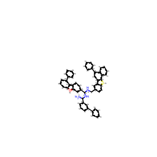 NC(NC(NCc1ccc2sc3c4ccccc4c(-c4ccccc4)cc3c2c1)c1ccc2c(c1)oc1cccc(-c3ccccc3)c12)c1cccc(-c2ccccc2)c1